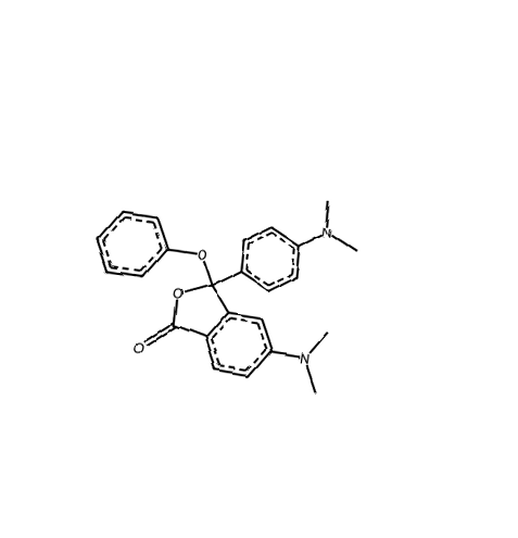 CN(C)c1ccc(C2(Oc3ccccc3)OC(=O)c3ccc(N(C)C)cc32)cc1